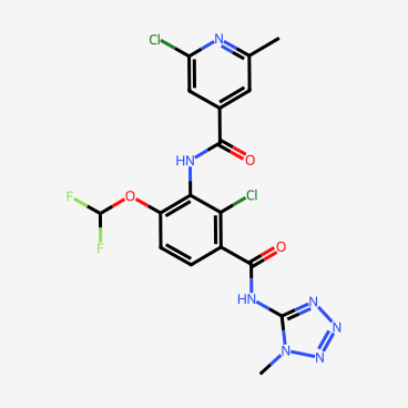 Cc1cc(C(=O)Nc2c(OC(F)F)ccc(C(=O)Nc3nnnn3C)c2Cl)cc(Cl)n1